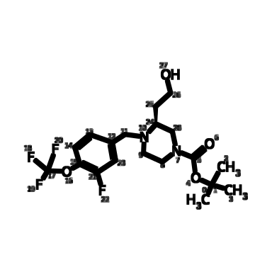 CC(C)(C)OC(=O)N1CCN(Cc2ccc(OC(F)(F)F)c(F)c2)[C@@H](CCO)C1